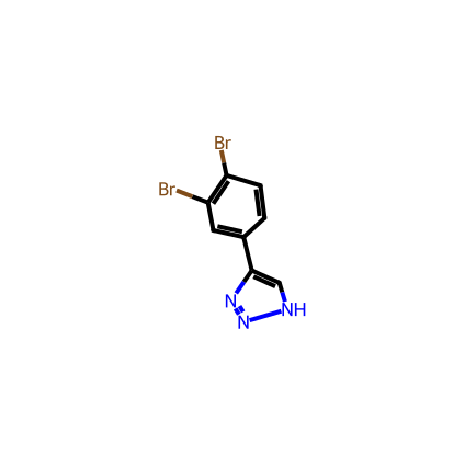 Brc1ccc(-c2c[nH]nn2)cc1Br